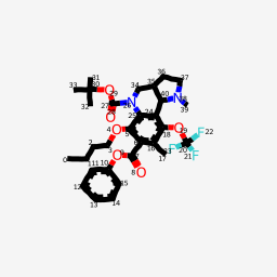 CCCCOc1c(C(=O)Oc2ccccc2)c(C)c(OC(F)(F)F)c2c1N(C(=O)OC(C)(C)C)CC1CCN(C)C21